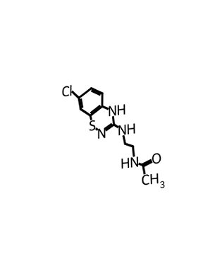 CC(=O)NCCNC1=NSc2cc(Cl)ccc2N1